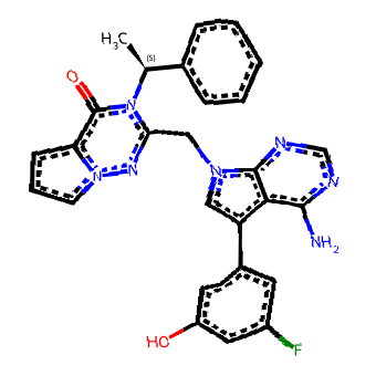 C[C@@H](c1ccccc1)n1c(Cn2cc(-c3cc(O)cc(F)c3)c3c(N)ncnc32)nn2cccc2c1=O